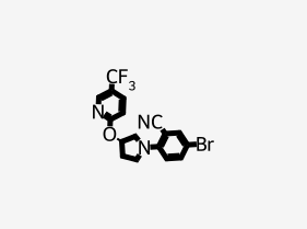 N#Cc1cc(Br)ccc1N1CC[C@H](Oc2ccc(C(F)(F)F)cn2)C1